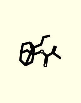 C=C(C)C(=O)OC12CC3CC(CC(C3)C1CCC)C2